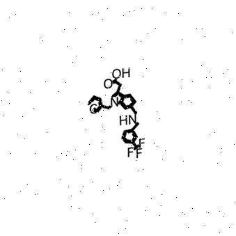 O=C(O)Cc1cn(Cc2ccccc2)c2cc(CNCc3cccc(C(F)(F)F)c3)ccc12